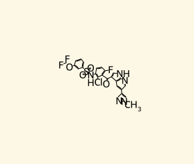 Cn1cc(-c2cnc3[nH]cc(C(=O)c4c(F)ccc(NS(=O)(=O)c5cccc(OC(F)F)c5)c4Cl)c3c2)cn1